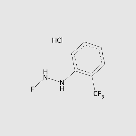 Cl.FNNc1ccccc1C(F)(F)F